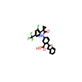 O=C(O)c1cc(NC(=O)C2(c3ccc(C(F)(F)F)cc3F)CC2)ccc1-c1cc2ccccc2s1